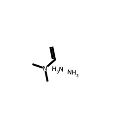 C=CN(C)C.N.N